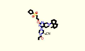 C=CC(=O)N1CCN(c2nc(OCCCS(=O)(=O)C3CCCC3)nc3c2CCN(c2cccc4cccc(C)c24)C3)C[C@@H]1CC#N